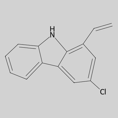 C=Cc1cc(Cl)cc2c1[nH]c1ccccc12